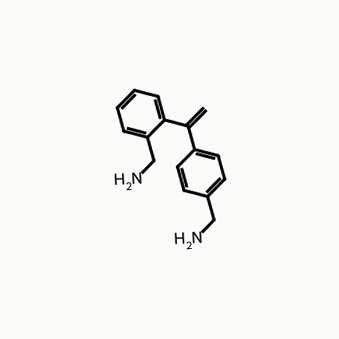 C=C(c1ccc(CN)cc1)c1ccccc1CN